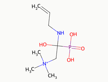 C=CCNC(O)(C[N+](C)(C)C)P(=O)(O)O